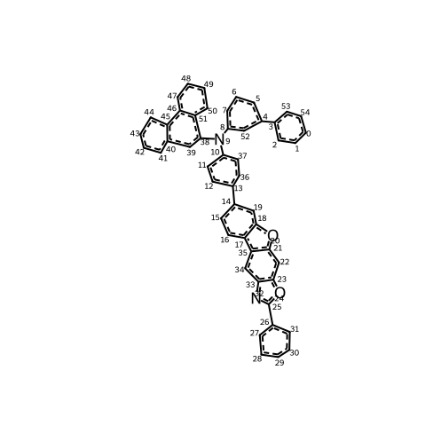 c1ccc(-c2cccc(N(c3ccc(-c4ccc5c(c4)oc4cc6oc(-c7ccccc7)nc6cc45)cc3)c3cc4ccccc4c4ccccc34)c2)cc1